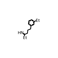 CCC(=N)CCCc1cccc(CC)c1